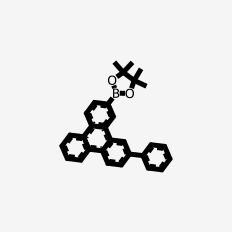 CC1(C)OB(c2ccc3c4ccccc4c4ccc(-c5ccccc5)cc4c3c2)OC1(C)C